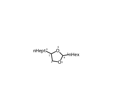 CCCCCCCC1COC(CCCCCC)O1